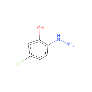 NNc1ccc(F)cc1O